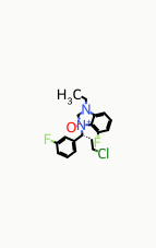 CCN1C[N+]([O-])([C@H](CCCl)c2cccc(F)c2)c2c(F)cccc21